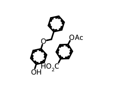 CC(=O)Oc1ccc(C(=O)O)cc1.Oc1ccc(OCc2ccccc2)cc1